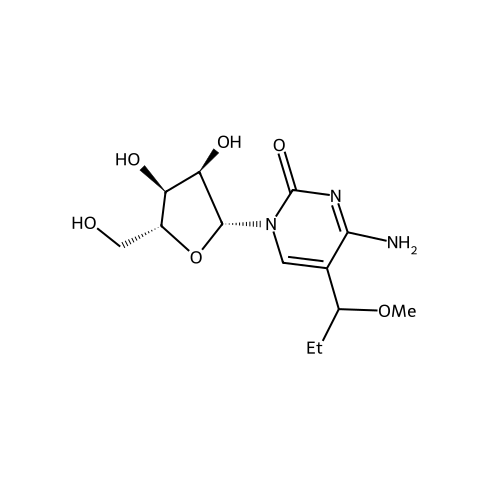 CCC(OC)c1cn([C@@H]2O[C@H](CO)[C@@H](O)[C@H]2O)c(=O)nc1N